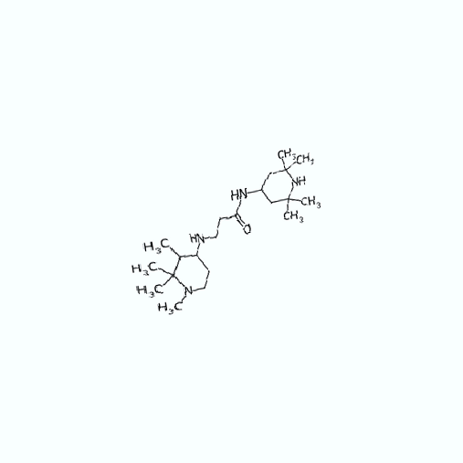 CC1C(NCCC(=O)NC2CC(C)(C)NC(C)(C)C2)CCN(C)C1(C)C